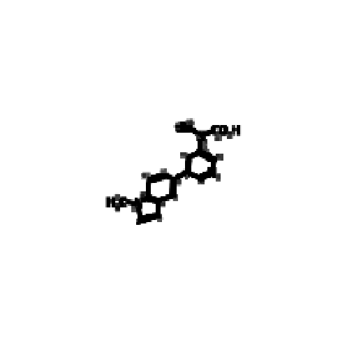 Cn1ccc2cc(-c3cncc(N(C(=O)O)C(C)(C)C)c3)ccc21